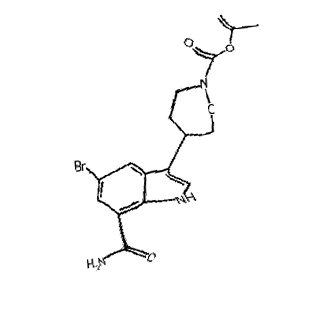 C=C(C)OC(=O)N1CCC(c2c[nH]c3c(C(N)=O)cc(Br)cc23)CC1